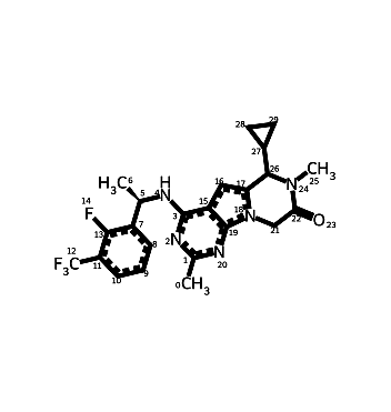 Cc1nc(N[C@H](C)c2cccc(C(F)(F)F)c2F)c2cc3n(c2n1)CC(=O)N(C)C3C1CC1